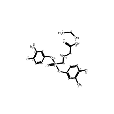 CCO.Cc1cc(OP(=O)(CNCC(=O)O)Oc2ccc(Cl)c(C)c2)ccc1Cl